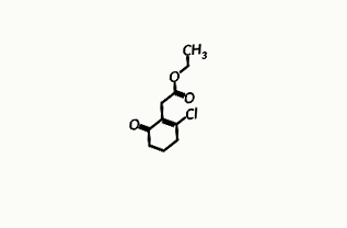 CCOC(=O)CC1=C(Cl)CCCC1=O